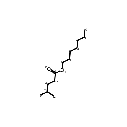 CCCCCCCOC(=O)CCC(C)C